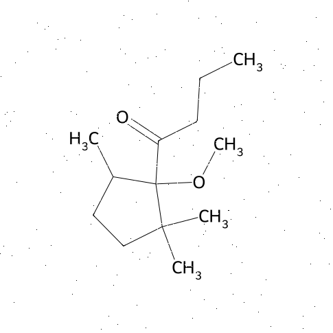 CCCC(=O)C1(OC)C(C)CCC1(C)C